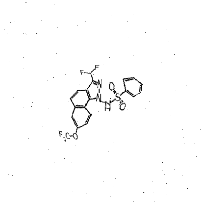 O=S(=O)(Nn1nc(C(F)F)c2ccc3cc(OC(F)(F)F)ccc3c21)c1ccccc1